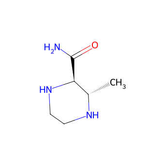 C[C@@H]1NCCN[C@H]1C(N)=O